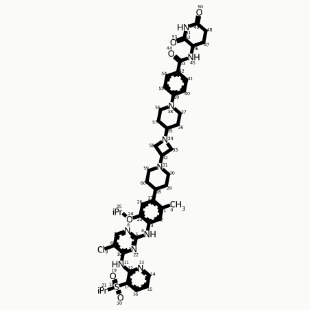 Cc1cc(Nc2ncc(Cl)c(Nc3ncccc3S(=O)(=O)C(C)C)n2)c(OC(C)C)cc1C1CCN(C2CN(C3CCN(c4ccc(C(=O)NC5CCC(=O)NC5=O)cc4)CC3)C2)CC1